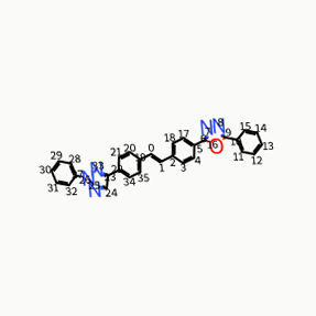 C(=Cc1ccc(-c2nnc(-c3ccccc3)o2)cc1)c1ccc(-c2cnn(-c3ccccc3)n2)cc1